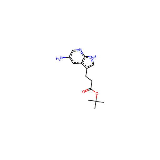 CC(C)(C)OC(=O)CCc1c[nH]c2ncc(N)cc12